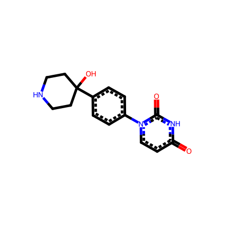 O=c1ccn(-c2ccc(C3(O)CCNCC3)cc2)c(=O)[nH]1